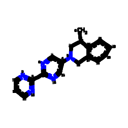 CC1CN(c2cnc(-c3ncccn3)nc2)Cc2ccccc21